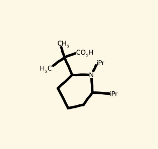 CC(C)C1CCCC(C(C)(C)C(=O)O)N1C(C)C